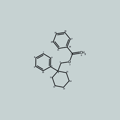 C=C(OCC1(c2ccccc2)CCCCC1)c1ccccc1